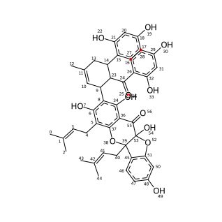 CC(C)=CCc1c(O)c(C2C=C(C)CC(c3ccc(O)cc3O)C2C(=O)c2ccc(O)cc2O)c(O)c2c1OC1(CC=C(C)C)c3ccc(O)cc3OC1(O)C2=O